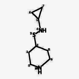 C1CC(SNC2CC2)CCN1